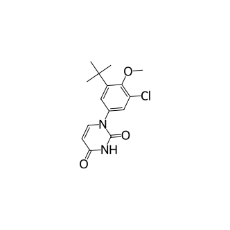 COc1c(Cl)cc(-n2ccc(=O)[nH]c2=O)cc1C(C)(C)C